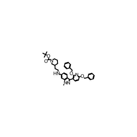 Cn1nc(-c2ccc(OCc3ccccc3)nc2OCc2ccccc2)c2ccc(NCCC3CCCN(C(=O)OC(C)(C)C)C3)cc21